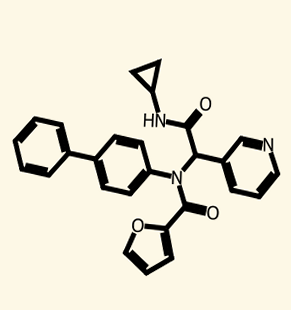 O=C(NC1CC1)C(c1cccnc1)N(C(=O)c1ccco1)c1ccc(-c2ccccc2)cc1